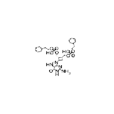 Nc1nc2c(c(=O)[nH]1)NCN2[C@@H]1C[C@H](COP(=O)(O)OCCc2ccccc2)[C@H]1COP(=O)(O)OCCc1ccccc1